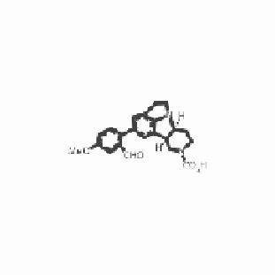 COc1ccc(-c2cc3c4c(c2)[C@@H]2CN(C(=O)O)CC[C@@H]2N4CC3)c(C=O)c1